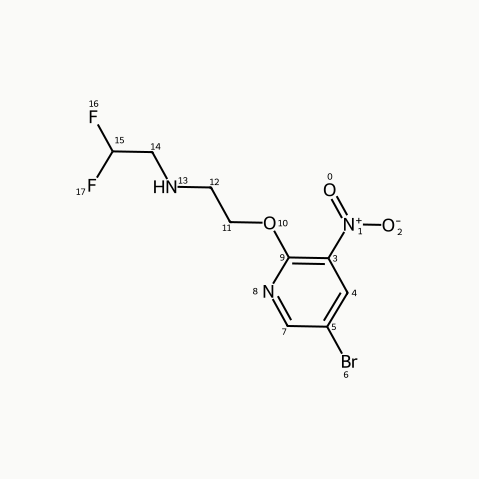 O=[N+]([O-])c1cc(Br)cnc1OCCNCC(F)F